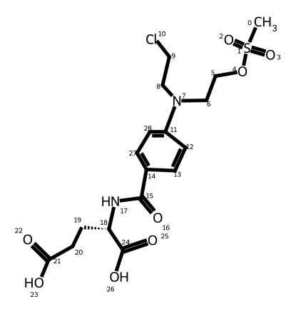 CS(=O)(=O)OCCN(CCCl)c1ccc(C(=O)N[C@@H](CCC(=O)O)C(=O)O)cc1